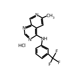 Cc1cc2c(Nc3cccc(C(F)(F)F)c3)ncnc2cn1.Cl